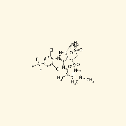 CN(C)C=Nc1c(C(CS(N)(=O)=O)S(=O)(=O)N=CN(C)C)c(C#N)nn1-c1c(Cl)cc(C(F)(F)F)cc1Cl